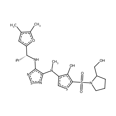 Cc1cc([C@H](Nc2nsnc2N(C)c2csc(S(=O)(=O)N3CCCC3CO)c2O)C(C)C)oc1C